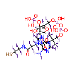 O=C(N(I)C(I)(I)C(S)(I)I)C(I)(I)C(I)(I)N(I)C(=O)[C@@](O)(I)C(C(I)(I)I)(C(I)(I)I)C(I)(I)OP(=O)(O)OP(=O)(O)OC(I)(I)[C@@]1(I)O[C@@](I)(n2c(I)nc3c(N(I)I)nc(I)nc32)[C@@](O)(I)[C@]1(I)OP(=O)(O)O